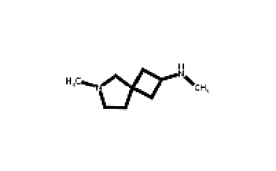 CNC1CC2(CCN(C)C2)C1